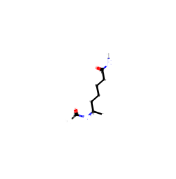 CCCCC(=O)NC(C)CCCCC(=O)NC(C)C